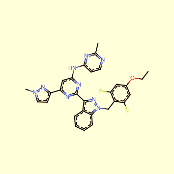 CCOc1cc(F)c(Cn2nc(-c3nc(Nc4ccnc(C)n4)cc(-c4ccn(C)n4)n3)c3ccccc32)c(F)c1